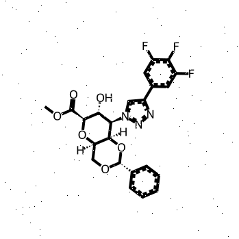 COC(=O)[C@@H]1O[C@@H]2CO[C@@H](c3ccccc3)O[C@@H]2[C@H](n2cc(-c3cc(F)c(F)c(F)c3)nn2)[C@H]1O